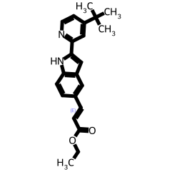 CCOC(=O)/C=C/c1ccc2[nH]c(-c3cc(C(C)(C)C)ccn3)cc2c1